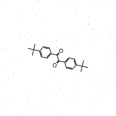 CC(C)(C)c1ccc(C(=O)C(=O)c2ccc(C(C)(C)C)cc2)cc1